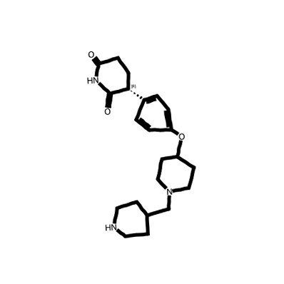 O=C1CC[C@H](c2ccc(OC3CCN(CC4CCNCC4)CC3)cc2)C(=O)N1